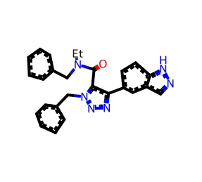 CCN(Cc1ccccc1)C(=O)c1c(-c2ccc3[nH]ncc3c2)nnn1Cc1ccccc1